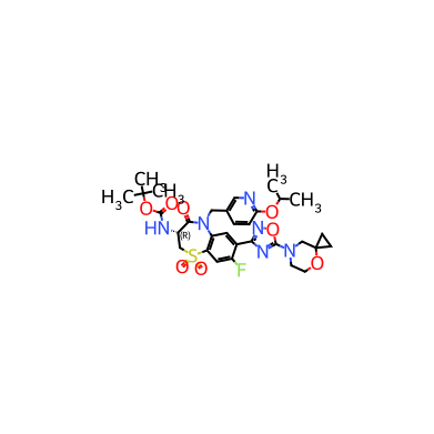 CC(C)Oc1ccc(CN2C(=O)[C@@H](NC(=O)OC(C)(C)C)CS(=O)(=O)c3cc(F)c(-c4noc(N5CCOC6(CC6)C5)n4)cc32)cn1